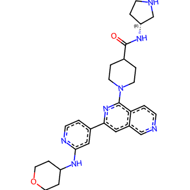 O=C(N[C@@H]1CCNC1)C1CCN(c2nc(-c3ccnc(NC4CCOCC4)c3)cc3cnccc23)CC1